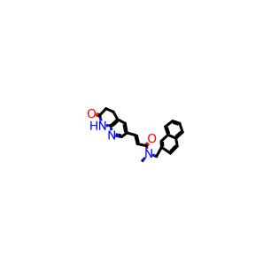 CN(Cc1ccc2ccccc2c1)C(=O)C=Cc1cnc2c(c1)CCC(=O)N2